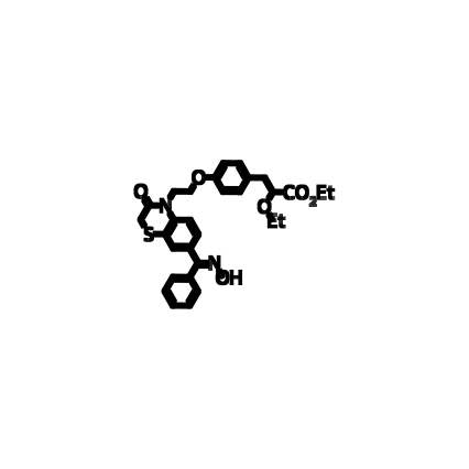 CCOC(=O)C(Cc1ccc(OCCN2C(=O)CSc3cc(C(=NO)c4ccccc4)ccc32)cc1)OCC